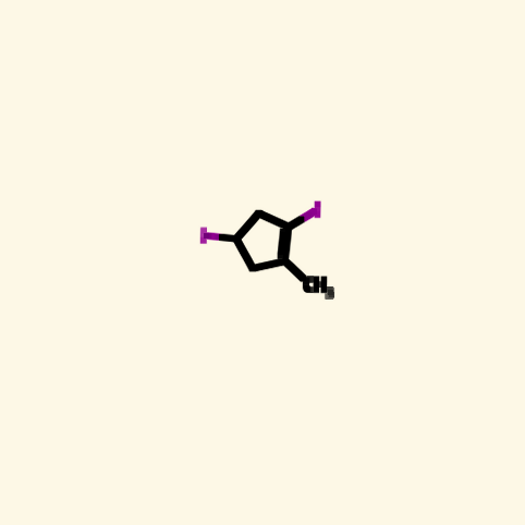 CC1=C(I)CC(I)C1